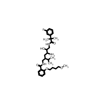 COCCCCOc1ccccc1C(=O)NCC(CC(N)C(O)CNC(=O)C(C)(C)c1cccc(F)c1)C(C)C